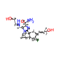 CC(C)(O)C#Cc1cc2c(cc1F)C1CC(C1)n1c-2nc(C(N)=O)c1CNCCO